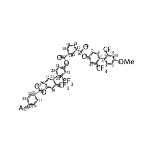 COc1ccc(-c2ccc(OC(=O)c3cccc(C(=O)Oc4ccc(-c5ccc(OC(=O)c6ccc(C(C)=O)cc6)cc5C(F)(F)F)c(C(F)(F)F)c4)c3)cc2C(F)(F)F)c(C(F)(F)F)c1